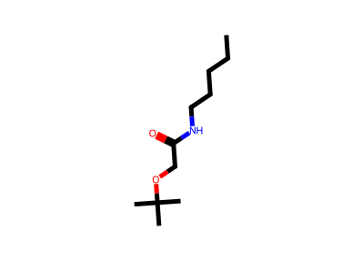 CCCCCNC(=O)COC(C)(C)C